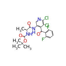 C[C@H](NC(=O)OC(C)(C)C)C(=O)Nc1cnc(Cl)c(Cl)c1C(=O)c1c(F)cccc1F